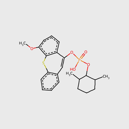 COc1cccc2c1Sc1ccccc1C=C2OP(=O)(O)OC1C(C)CCCC1C